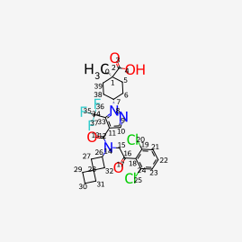 C[C@]1(C(=O)O)CC[C@H](n2ncc(C(=O)N(CC(=O)c3c(Cl)cccc3Cl)C3CC4(CCC4)C3)c2C(F)(F)F)CC1